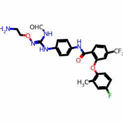 Cc1cc(F)ccc1Oc1cc(C(F)(F)F)ccc1C(=O)Nc1ccc(NC(=NOCCN)NC=O)cc1